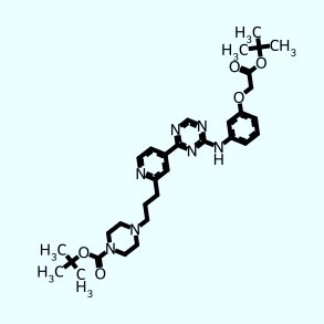 CC(C)(C)OC(=O)COc1cccc(Nc2ncnc(-c3ccnc(CCCN4CCN(C(=O)OC(C)(C)C)CC4)c3)n2)c1